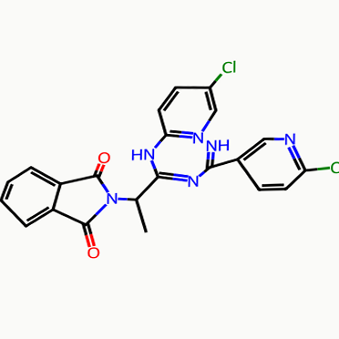 CC(/C(=N/C(=N)c1ccc(Cl)nc1)Nc1ccc(Cl)cn1)N1C(=O)c2ccccc2C1=O